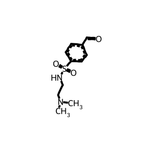 CN(C)CCNS(=O)(=O)c1ccc(C=O)cc1